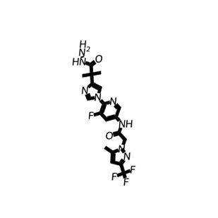 Cc1cc(C(F)(F)F)nn1CC(=O)Nc1cnc(-n2cnc(C(C)(C)C(=O)NN)c2)c(F)c1